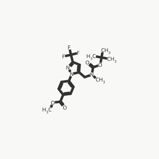 COC(=O)c1ccc(-n2nc(C(F)(F)F)cc2CN(C)C(=O)OC(C)(C)C)cc1